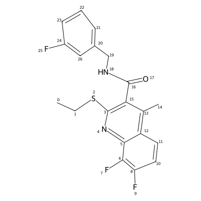 CCSc1nc2c(F)c(F)ccc2c(C)c1C(=O)NCc1cccc(F)c1